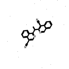 C[C](c1ncc2ccccc2c1C#N)c1ncc(C#N)c2ccccc12